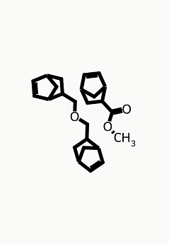 C1=CC2CC1CC2COCC1CC2C=CC1C2.COC(=O)C1CC2C=CC1C2